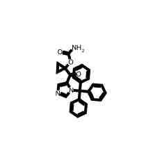 NC(=O)OC1(C(=O)c2cncn2C(c2ccccc2)(c2ccccc2)c2ccccc2)CC1